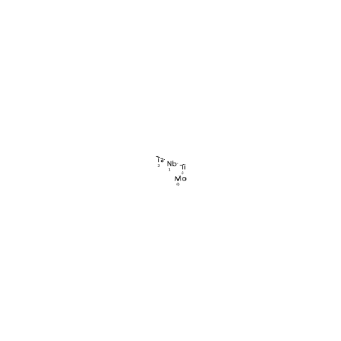 [Mo].[Nb].[Ta].[Ti]